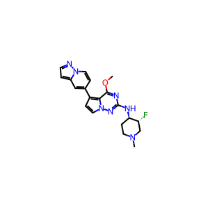 COc1nc(N[C@@H]2CCN(C)C[C@H]2F)nn2ccc(-c3ccn4nccc4c3)c12